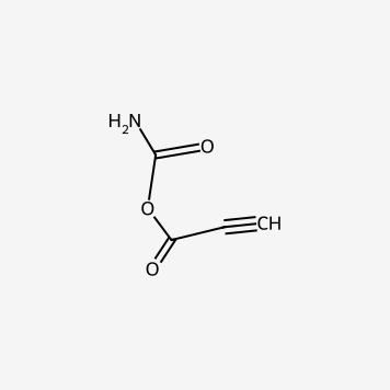 C#CC(=O)OC(N)=O